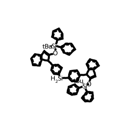 CC(C)(C)[Si](OC1=Cc2ccccc2C1c1ccc([SiH2]c2ccc(C3C(O[Si](c4ccccc4)(c4ccccc4)C(C)(C)C)=Cc4ccccc43)cc2)cc1)(c1ccccc1)c1ccccc1